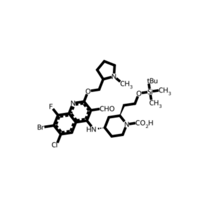 CN1CCCC1COc1nc2c(F)c(Br)c(Cl)cc2c(N[C@H]2CCN(C(=O)O)[C@H](CCO[Si](C)(C)C(C)(C)C)C2)c1C=O